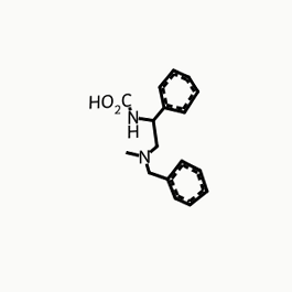 CN(Cc1ccccc1)CC(NC(=O)O)c1ccccc1